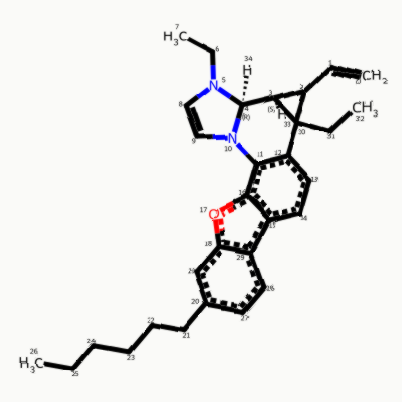 C=CC1[C@@H]2[C@@H]3N(CC)C=CN3c3c(ccc4c3oc3cc(CCCCCC)ccc34)C12CC